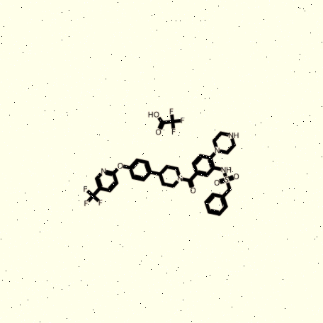 O=C(O)C(F)(F)F.O=C(c1ccc(N2CCNCC2)c(NS(=O)(=O)Cc2ccccc2)c1)N1CCC(c2ccc(Oc3ccc(C(F)(F)F)cn3)cc2)CC1